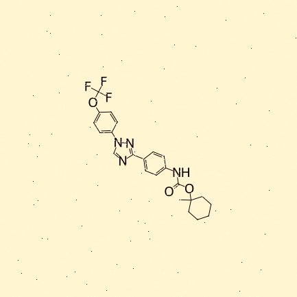 CC1(OC(=O)Nc2ccc(-c3ncn(-c4ccc(OC(F)(F)F)cc4)n3)cc2)CCCCC1